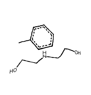 Cc1ccccc1.OCCNCCO